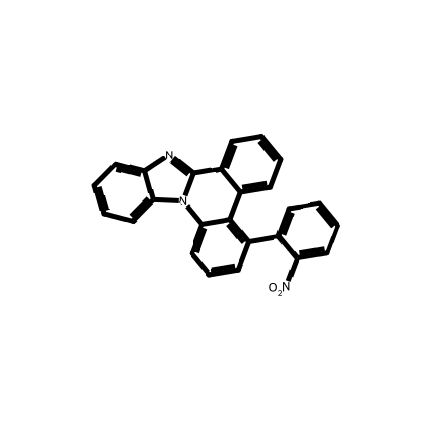 O=[N+]([O-])c1ccccc1-c1cccc2c1c1ccccc1c1nc3ccccc3n21